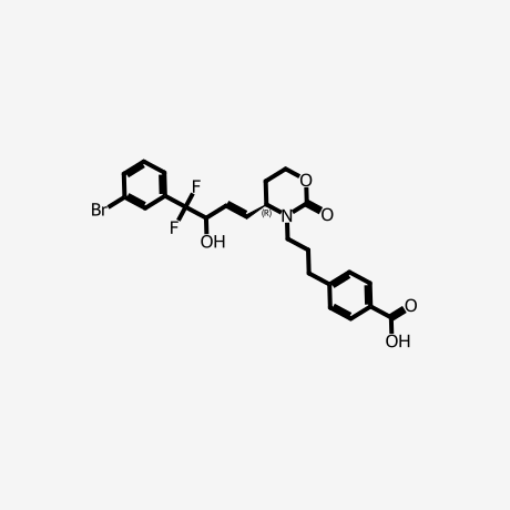 O=C(O)c1ccc(CCCN2C(=O)OCC[C@@H]2C=CC(O)C(F)(F)c2cccc(Br)c2)cc1